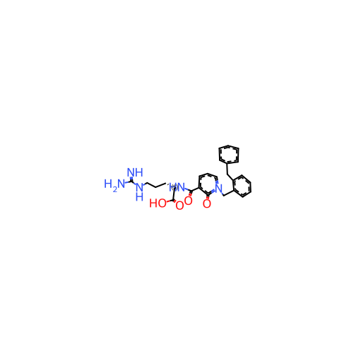 N=C(N)NCCC[C@H](NC(=O)c1cccn(Cc2ccccc2Cc2ccccc2)c1=O)C(=O)O